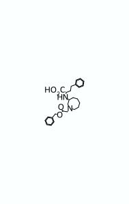 O=C(CN1CCCCC[C@H](N[C@@H](CCc2ccccc2)C(=O)O)C1)OCc1ccccc1